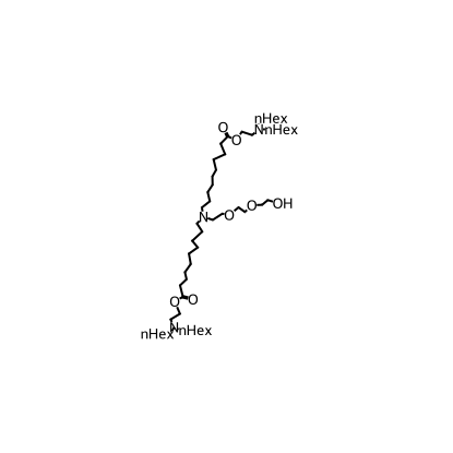 CCCCCCN(CCCCCC)CCOC(=O)CCCCCCCCCN(CCCCCCCCCC(=O)OCCN(CCCCCC)CCCCCC)CCOCCOCCO